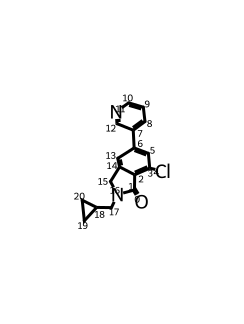 O=C1c2c(Cl)cc(-c3cccnc3)cc2CN1CC1CC1